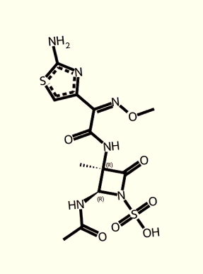 CON=C(C(=O)N[C@@]1(C)C(=O)N(S(=O)(=O)O)[C@H]1NC(C)=O)c1csc(N)n1